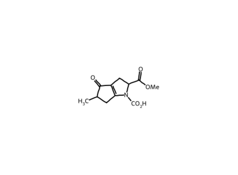 COC(=O)C1CC2=C(CC(C)C2=O)N1C(=O)O